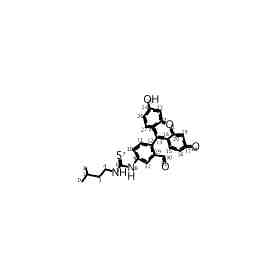 CC(C)CCNC(=S)Nc1ccc(-c2c3ccc(=O)cc-3oc3cc(O)ccc23)c(C=O)c1